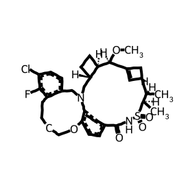 CO[C@H]1C2=C[C@H](C2)[C@H](C)[C@@H](C)S(=O)(=O)NC(=O)c2ccc3c(c2)N(Cc2ccc(Cl)c(F)c2CCCCO3)C[C@@H]2CC[C@H]21